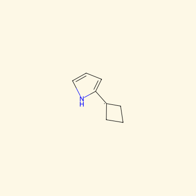 c1c[nH]c([C]2CCC2)c1